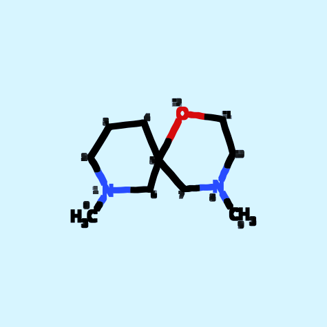 CN1CCCC2(C1)CN(C)CCO2